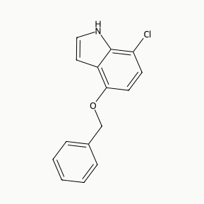 Clc1ccc(OCc2ccccc2)c2cc[nH]c12